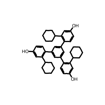 Oc1ccc(-c2cc(-c3ccc(O)cc3C3CCCCC3)cc(-c3ccc(O)cc3C3CCCCC3)c2)c(C2CCCCC2)c1